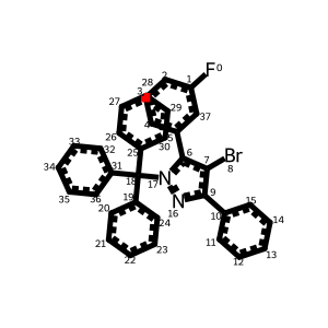 Fc1cccc(-c2c(Br)c(-c3ccccc3)nn2C(c2ccccc2)(c2ccccc2)c2ccccc2)c1